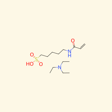 C=CC(=O)NCCCCCS(=O)(=O)O.CCN(CC)CC